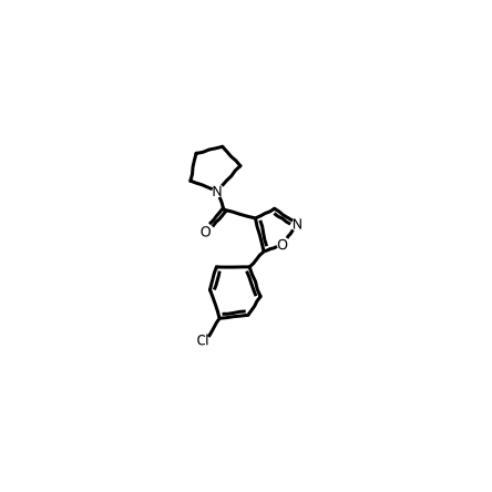 O=C(c1cnoc1-c1ccc(Cl)cc1)N1CCCC1